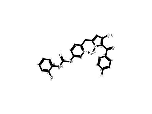 Cc1cc(Cc2ccc(NC(=O)Nc3ccccc3Cl)cn2)n(C)c1C(=O)c1ccc(Cl)cc1